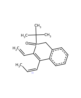 C=CC1=C(/C=C\C)c2ccccc2CP1(=O)C(C)(C)C